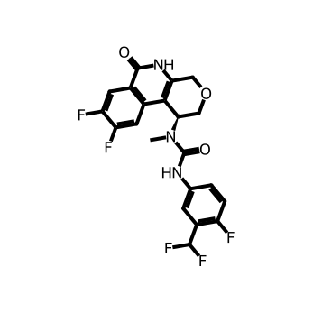 CN(C(=O)Nc1ccc(F)c(C(F)F)c1)[C@@H]1COCc2[nH]c(=O)c3cc(F)c(F)cc3c21